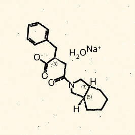 O.O=C([O-])[C@H](CC(=O)N1C[C@H]2CCCC[C@H]2C1)Cc1ccccc1.[Na+]